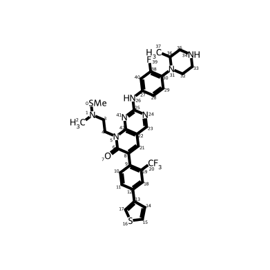 CSN(C)CCn1c(=O)c(-c2ccc(-c3ccsc3)cc2C(F)(F)F)cc2cnc(Nc3ccc(N4CCNCC4C)c(F)c3)nc21